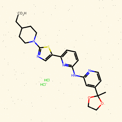 CC1(c2ccnc(Nc3cccc(-c4cnc(N5CCC(CC(=O)O)CC5)s4)n3)c2)OCCO1.Cl.Cl